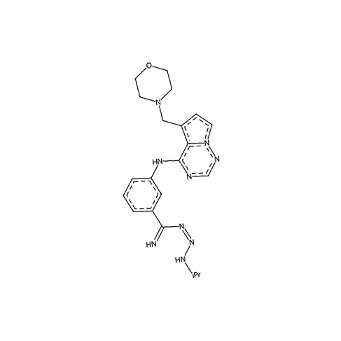 CC(C)N/N=N\C(=N)c1cccc(Nc2ncnn3ccc(CN4CCOCC4)c23)c1